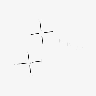 [Ba+2].[Ba+2].[Ba+2].[O-][Si]([O-])([O-])F.[O-][Si]([O-])([O-])F